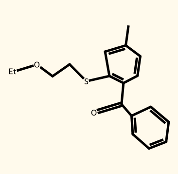 CCOCCSc1cc(C)ccc1C(=O)c1ccccc1